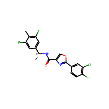 Cc1c(F)cc([C@@H](C)NC(=O)c2coc(-c3ccc(Cl)c(Cl)c3)n2)cc1F